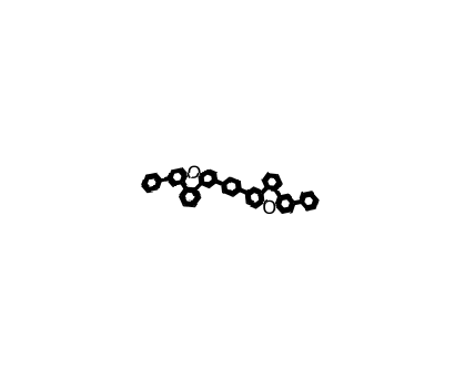 c1ccc(-c2ccc3c(c2)-c2ccccc2-c2cc(-c4ccc(-c5ccc6c(c5)-c5ccccc5-c5cc(-c7ccccc7)ccc5O6)cc4)ccc2O3)cc1